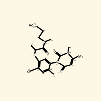 CC(Sc1cc(-n2c(=O)cc(C(F)(F)F)n(C)c2=O)c(F)cc1Cl)C(=O)N(C)CCC(=O)O